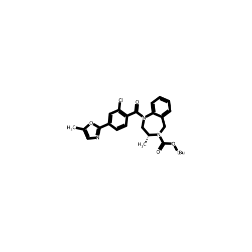 Cc1cnc(-c2ccc(C(=O)N3C[C@@H](C)N(C(=O)OC(C)(C)C)Cc4ccccc43)c(Cl)c2)o1